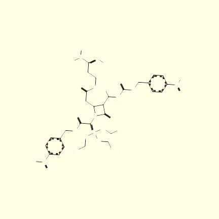 CCOP(OCC)(OCC)=C(C(=O)OCc1ccc([N+](=O)[O-])cc1)N1C(=O)C(C(C)OC(=O)OCc2ccc([N+](=O)[O-])cc2)C1CC(=O)SCCC(=NC)N(C)C